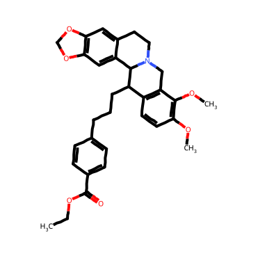 CCOC(=O)c1ccc(CCCC2c3ccc(OC)c(OC)c3CN3CCc4cc5c(cc4C23)OCO5)cc1